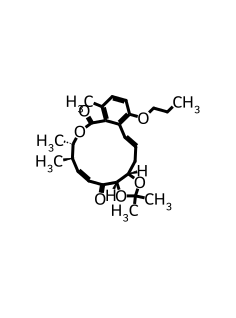 CCCOc1ccc(C)c2c1/C=C/C[C@@H]1OC(C)(C)O[C@@H]1C(=O)/C=C\[C@@H](C)[C@H](C)OC2=O